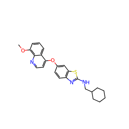 COc1cccc2c(Oc3ccc4nc(NCC5CCCCC5)sc4c3)ccnc12